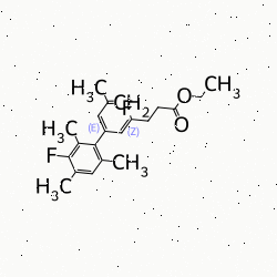 C=C(C)/C=C(\C=C(/F)CCC(=O)OCC)c1c(C)cc(C)c(F)c1C